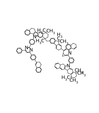 CC1(C)CCC(C)(C)C2=C1C=C1C(C2)C2=C(CC3C=CC=CC3=C2)N1c1cccc(C2=C3CC3C(C3C=C4C(=CC3)c3cc(CC5(C)CCC(C)(C)c6cc7c8c(n(-c9ccc(-c%10nc(-c%11ccccc%11)cc(-c%11ccc(C%12=Cc%13ccccc%13CC%12)cc%11)n%10)cc9)c7cc65)-c5ccccc5CC8)ccc3C4(C)C)=c3ccc4c(c3=N2)C=CCC4)c1